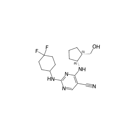 N#Cc1cnc(NC2CCC(F)(F)CC2)nc1N[C@@H]1CCC[C@@H]1CO